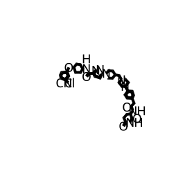 N#Cc1ccc(O[C@H]2CC[C@H](NC(=O)c3ccc(N4CCC(CN5CCN(c6ccc(CC(=O)NC7CCC(=O)NC7=O)cc6)CC5)CC4)nn3)CC2)cc1Cl